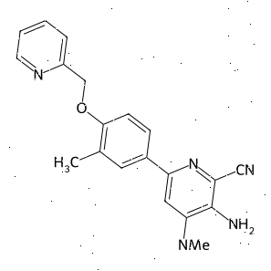 CNc1cc(-c2ccc(OCc3ccccn3)c(C)c2)nc(C#N)c1N